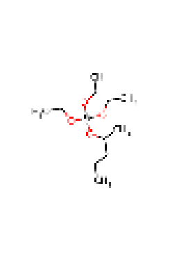 CCCC(C)O[Si](OCC)(OCC)OCC